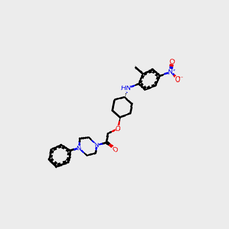 Cc1cc([N+](=O)[O-])ccc1N[C@H]1CC[C@H](OCC(=O)N2CCN(c3ccccc3)CC2)CC1